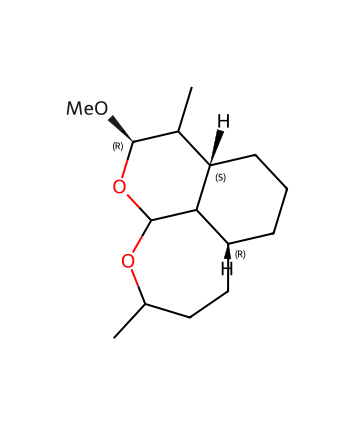 CO[C@@H]1OC2OC(C)CC[C@H]3CCC[C@H](C23)C1C